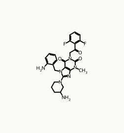 Cn1c(=O)n(CC(=O)c2c(F)cccc2F)c(=O)c2c1nc(N1CCCC(N)C1)n2Cc1ccccc1N